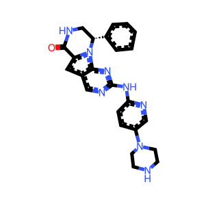 O=C1NC[C@H](c2ccccc2)n2c1cc1cnc(Nc3ccc(N4CCNCC4)cn3)nc12